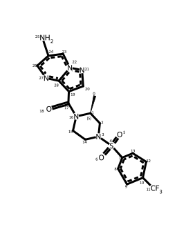 C[C@H]1CN(S(=O)(=O)c2ccc(C(F)(F)F)cc2)CCN1C(=O)c1cnn2cc(N)cnc12